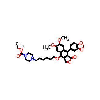 CCOC(=O)N1CCN(CCCCCCOc2c3c(c(-c4ccc5c(c4)OCO5)c4cc(OC)c(OC)cc24)C(=O)OC3)CC1